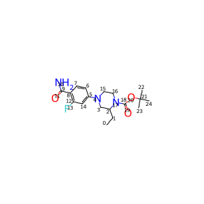 CCC1CN(c2ccc(C(N)=O)c(F)c2)CCN1C(=O)OC(C)(C)C